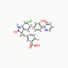 Cc1ccc(C2CC23C(=O)N(C)c2cc(Cl)c(-c4ccc(-c5ncccc5O)cc4)cc23)cc1C(=O)O